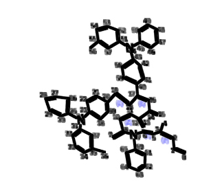 C=C/C=C(C)\C=C\N(C(=C)/C=C\C(=C)C(=C)/C=C(\C=C\c1ccc(N(c2ccccc2)c2cccc(C)c2)cc1)c1ccc(N(c2ccccc2)c2cccc(C)c2)cc1)c1ccccc1